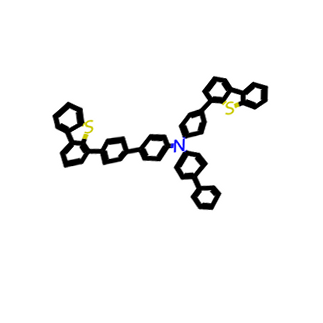 c1ccc(-c2ccc(N(c3ccc(-c4ccc(-c5cccc6c5sc5ccccc56)cc4)cc3)c3ccc(-c4cccc5c4sc4ccccc45)cc3)cc2)cc1